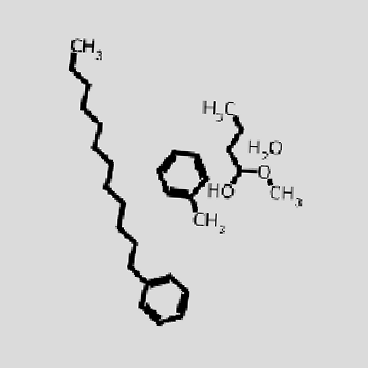 CCCC(O)OC.CCCCCCCCCCCCc1ccccc1.Cc1ccccc1.O